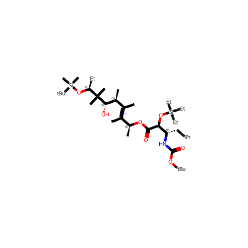 CC[C@H](O[Si](C)(C)C(C)(C)C)C(C)(C)[C@@H](O)[C@@H](C)/C(C)=C(\C)[C@H](C)OC(=O)C(O[Si](CC)(CC)CC)[C@H](CC(C)C)NC(=O)OC(C)(C)C